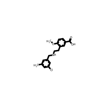 COc1ccc(C(=O)O)cc1CCNCc1cc(C)cc(Cl)c1